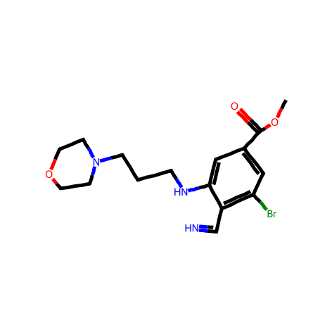 COC(=O)c1cc(Br)c(C=N)c(NCCCN2CCOCC2)c1